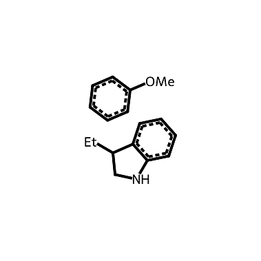 CCC1CNc2ccccc21.COc1ccccc1